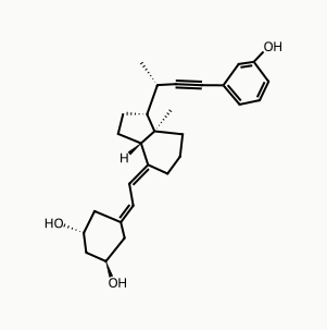 C[C@H](C#Cc1cccc(O)c1)[C@H]1CC[C@H]2/C(=C/C=C3C[C@@H](O)C[C@H](O)C3)CCC[C@]12C